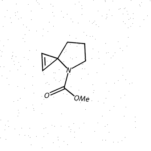 COC(=O)N1CCCC12C=C2